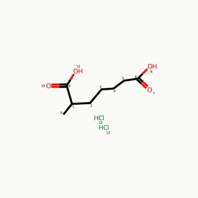 CC(CCCCC(=O)O)C(=O)O.Cl.Cl